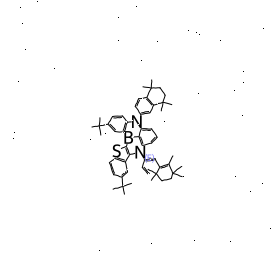 C=C/C(=C\C1=C(C)C(C)(C)CCC1(C)C)N1c2cccc3c2B(c2cc(C(C)(C)C)ccc2N3c2ccc3c(c2)C(C)(C)CCC3(C)C)c2sc3ccc(C(C)(C)C)cc3c21